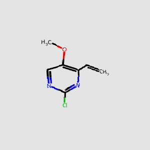 C=Cc1nc(Cl)ncc1OC